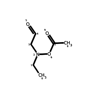 CCN(CC=O)OC(C)=O